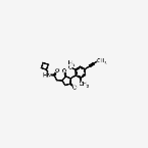 CC#Cc1cc(C)c(C2C(=O)CC(CC(=O)NC3CCC3)C2=O)c(C)c1